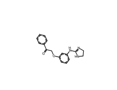 O=C(COc1cccc(NC2=NCCN2)c1)c1cc[c]cc1